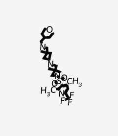 Cc1cc(C(F)(F)F)nc(C)c1S(=O)(=O)N1CC2(CN(C3CC4(C3)CN(CC3CCOCC3)C4)C2)C1